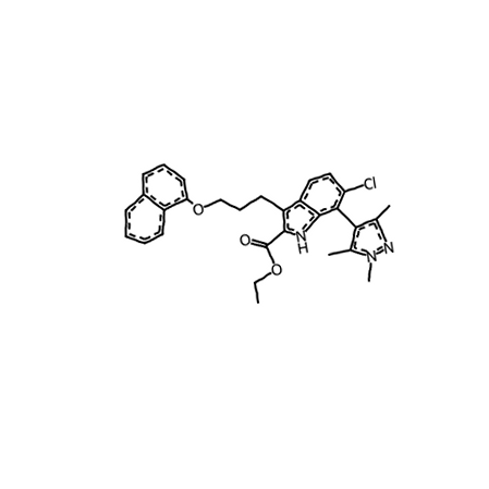 CCOC(=O)c1[nH]c2c(-c3c(C)nn(C)c3C)c(Cl)ccc2c1CCCOc1cccc2ccccc12